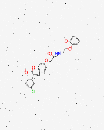 COC(=O)C(=Cc1ccc(OCC(O)CNCCOc2ccccc2OC)cc1)c1cccc(Cl)c1